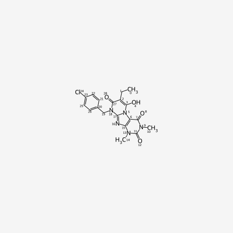 CCc1c(O)n2c3c(=O)n(C)c(=O)n(C)c3nc2n(Cc2ccc(Cl)cc2)c1=O